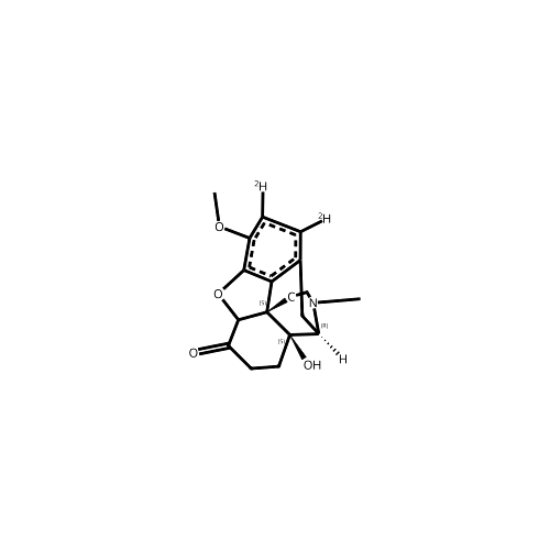 [2H]c1c([2H])c(OC)c2c3c1C[C@H]1N(C)CC[C@@]34C(O2)C(=O)CC[C@@]14O